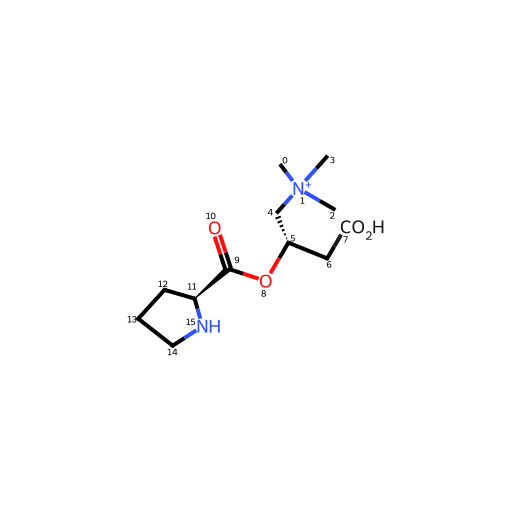 C[N+](C)(C)C[C@H](CC(=O)O)OC(=O)[C@@H]1CCCN1